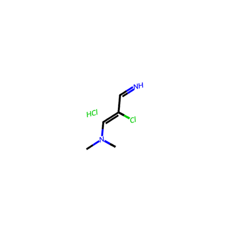 CN(C)C=C(Cl)C=N.Cl